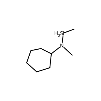 C[SiH2]N(C)C1CCCCC1